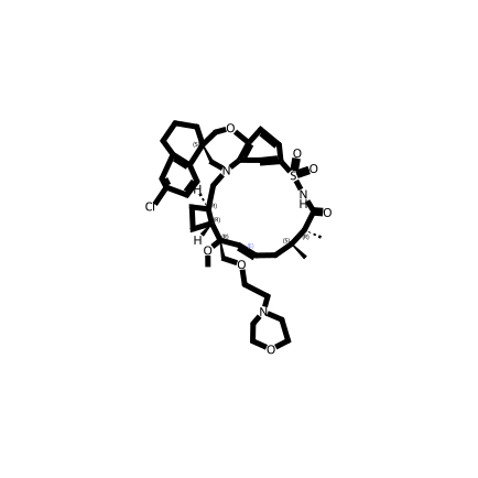 CO[C@@]1(COCCN2CCOCC2)/C=C/C[C@H](C)[C@@H](C)C(=O)NS(=O)(=O)c2ccc3c(c2)N(C[C@@H]2CC[C@H]21)C[C@@]1(CCCc2cc(Cl)ccc21)CO3